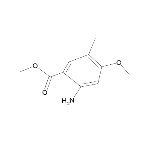 COC(=O)c1cc(C)c(OC)cc1N